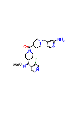 CON=C(c1ccncc1F)C1CCN(C(=O)C2CCN(Cc3ccnc(N)c3)CC2)CC1